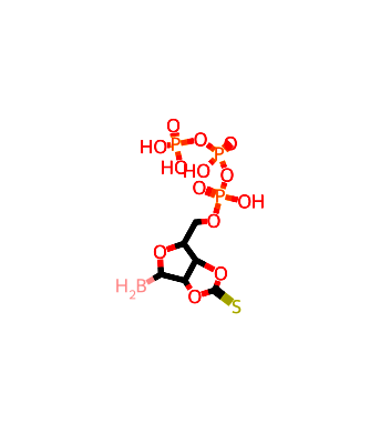 BC1OC(COP(=O)(O)OP(=O)(O)OP(=O)(O)O)C2OC(=S)OC12